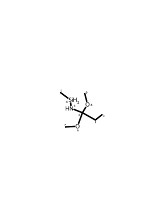 CCC(N[SiH2]C)(OC)OC